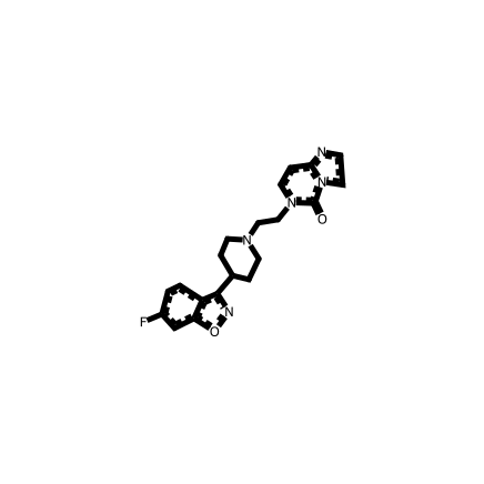 O=c1n(CCN2CCC(c3noc4cc(F)ccc34)CC2)ccc2nccn12